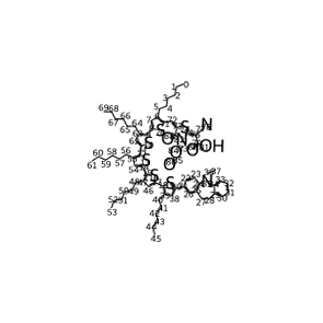 CCCCCCc1cc(-c2sc(-c3sc(-c4sc(-c5sc(-c6ccc7c(c6)CCc6ccccc6N7CC)cc5CCCCCC)cc4CCCCCC)cc3CCCCCC)cc2CCCCCC)sc1/C=c1/s/c(=C(\C#N)C(=O)O)n(COC=O)c1=O